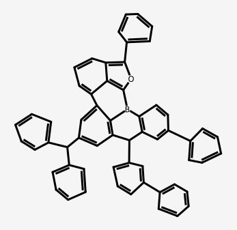 c1ccc(-c2cccc(C3c4cc(-c5ccccc5)ccc4B4c5c(cc(C(c6ccccc6)c6ccccc6)cc53)-c3cccc5c(-c6ccccc6)oc4c35)c2)cc1